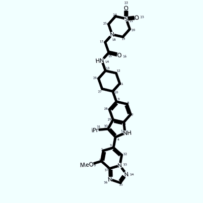 COc1cc(-c2[nH]c3ccc(C4CCC(NC(=O)CN5CCS(=O)(=O)CC5)CC4)cc3c2C(C)C)cn2ncnc12